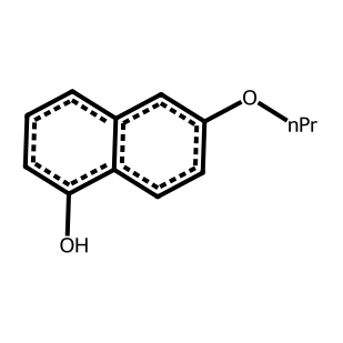 CCCOc1ccc2c(O)cccc2c1